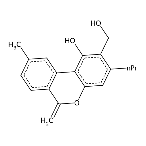 C=C1Oc2cc(CCC)c(CO)c(O)c2-c2cc(C)ccc21